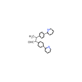 [CH2]C(c1ccc(-c2ccccn2)cc1)C(C=O)c1ccc(-c2ccccn2)cc1